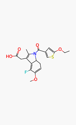 CCOc1cc(C(=O)N2C(C)=C(CC(=O)O)C3=C(F)C(OC)=CCC32)cs1